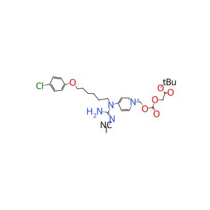 CC(C)(C)OC(=O)COC(=O)OC[n+]1ccc(N(CCCCCCOc2ccc(Cl)cc2)C(N)=NC#N)cc1.[I-]